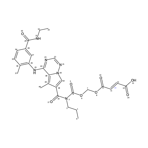 CCCN(C(=O)OCOC(=O)/C=C/C(=O)O)C(=O)c1cn2ncnc(Nc3cc(C(=O)NCC)ccc3C)c2c1C